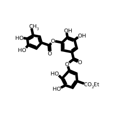 CCOC(=O)c1cc(O)c(O)c(OC(=O)c2cc(O)c(O)c(OC(=O)c3cc(C)c(O)c(O)c3)c2)c1